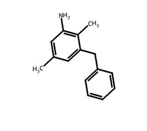 Cc1cc(N)c(C)c(Cc2ccccc2)c1